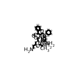 C[C@H](N)C(=O)N[C@@H](CCCCN)C(=O)N[C@H](C(=O)N(C1CCCCC1)n1cc(N)nn1)C(=C=O)c1ccccc1